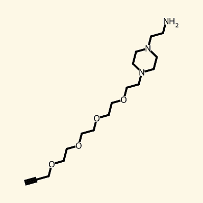 C#CCOCCOCCOCCOCCN1CCN(CCN)CC1